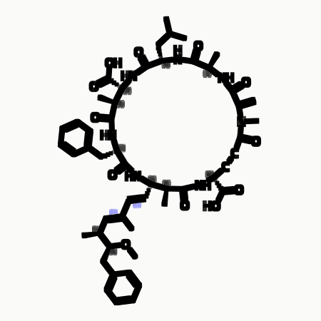 C=C1C(=O)N[C@H](C)C(=O)N[C@@H](CC(C)C)C(=O)N[C@@H](C(=O)O)[C@H](C)C(=O)N[C@@H](Cc2ccccc2)C(=O)N[C@@H](/C=C/C(C)=C/[C@H](C)[C@H](Cc2ccccc2)OC)[C@H](C)C(=O)N[C@@H](C(=O)O)CCC(=O)N1C